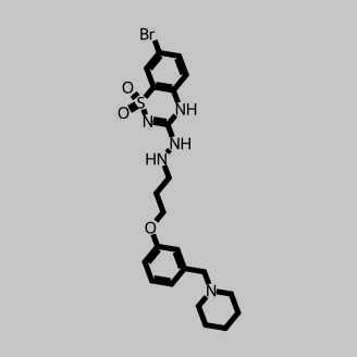 O=S1(=O)N=C(NNCCCOc2cccc(CN3CCCCC3)c2)Nc2ccc(Br)cc21